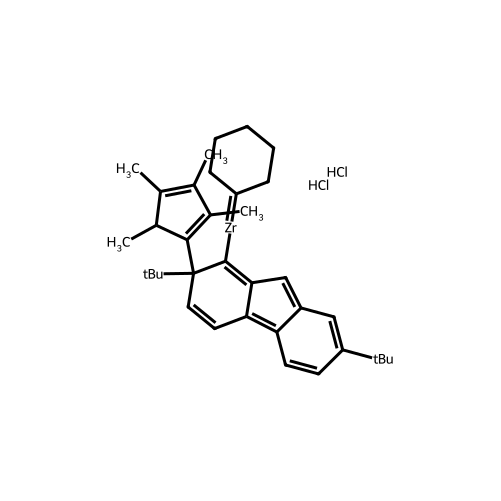 CC1=C(C)C(C)C(C2(C(C)(C)C)C=CC3=c4ccc(C(C)(C)C)cc4=CC3=[C]2[Zr]=[C]2CCCCC2)=C1C.Cl.Cl